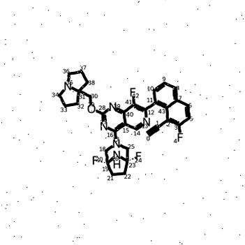 C#Cc1c(F)ccc2cccc(-c3ncc4c(N5C[C@]6(F)CC[C@](F)(C5)N6)nc(OCC56CCCN5CCC6)nc4c3F)c12